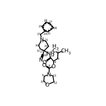 CC(C)CC(OC(=O)N1CCOCC1)C(=O)NC1(C#N)CCN(Cc2ccccc2)CC1